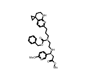 COc1ccc([C@H](CC(=O)OC(C)(C)C)NCCN(CCCc2ccc3c(n2)NCCC32CC2)C(=O)OCc2ccccc2)cn1